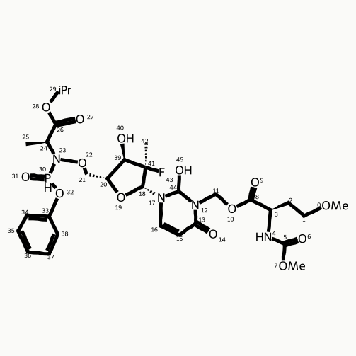 COCC[C@@H](NC(=O)OC)C(=O)OCN1C(=O)C=CN([C@@H]2O[C@H](CON([C@@H](C)C(=O)OC(C)C)[PH](=O)Oc3ccccc3)[C@@H](O)[C@@]2(C)F)C1O